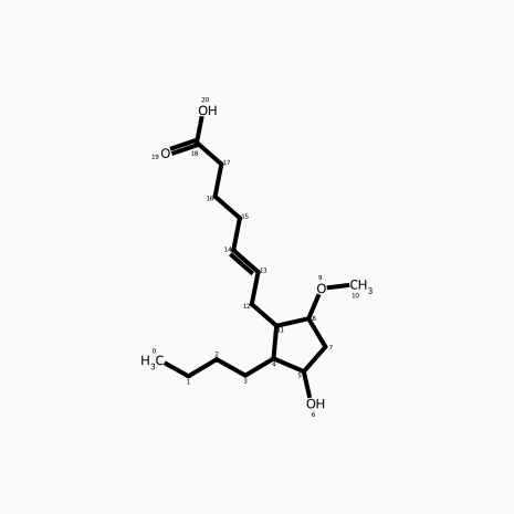 CCCCC1C(O)CC(OC)C1CC=CCCCC(=O)O